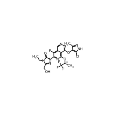 CCn1c(CO)nn(-c2nc(O[C@@H](C)C(F)(F)F)c3c(Oc4c(C)n[nH]c4Cl)nncc3c2F)c1=O